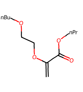 C=C(OCCOCCCC)C(=O)OCCC